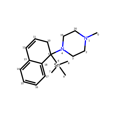 CN1CCN([C]2([Sn]([CH3])([CH3])[CH3])CC=Cc3ccccc32)CC1